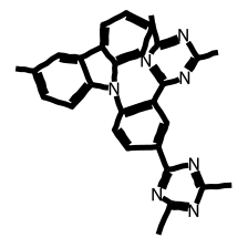 Cc1ccc2c(c1)c1ccccc1n2-c1ccc(-c2nc(C)nc(C)n2)cc1-c1nc(C)nc(C)n1